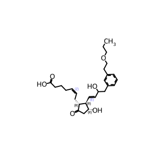 CCCOCCc1cccc(CC(O)/C=C/[C@H]2[C@H](O)CC(=O)[C@@H]2C/C=C\CCCC(=O)O)c1